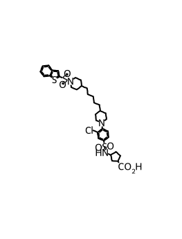 O=C(O)C1CCC(NS(=O)(=O)c2ccc(N3CCC(CCCCCC4CCN(S(=O)(=O)c5cc6ccccc6s5)CC4)CC3)c(Cl)c2)C1